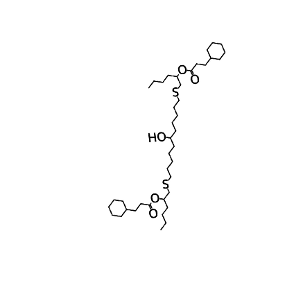 CCCCC(CSCCCCCC(O)CCCCCSCC(CCCC)OC(=O)CCC1CCCCC1)OC(=O)CCC1CCCCC1